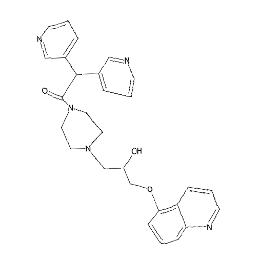 O=C(C(c1cccnc1)c1cccnc1)N1CCN(CC(O)COc2cccc3ncccc23)CC1